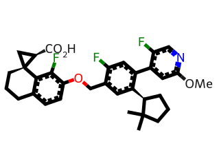 COc1cc(-c2cc(F)c(COc3ccc4c(c3F)[C@]3(CCC4)C[C@H]3C(=O)O)cc2[C@H]2CCCC2(C)C)c(F)cn1